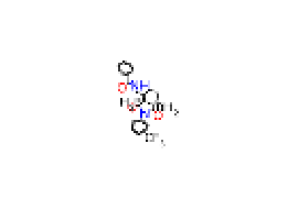 B[C@@]12CCCC(CNC(=O)c3ccccc3)[C@]1(B)C(=O)N(c1cccc(C(F)(F)F)c1)C2=O